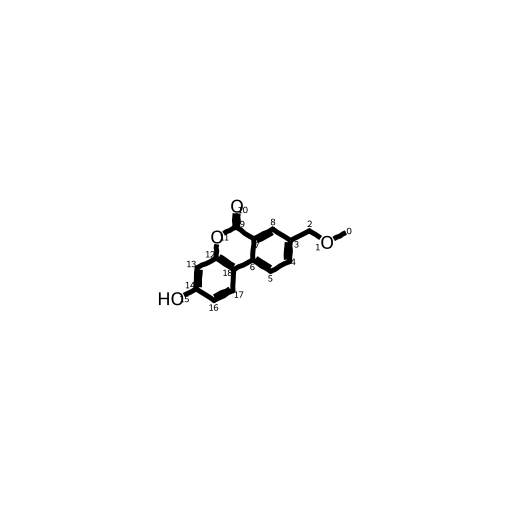 COCc1ccc2c(c1)c(=O)oc1cc(O)ccc12